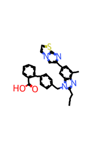 CCCc1nc2c(C)cc(-c3cn4ccsc4n3)cc2n1Cc1ccc(-c2ccccc2C(=O)O)cc1